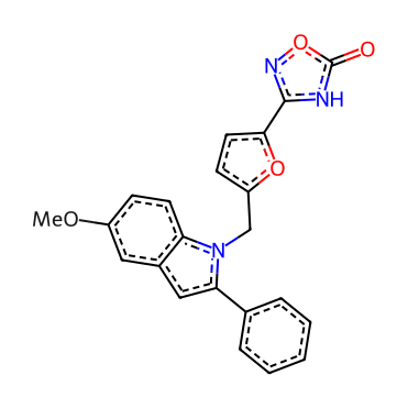 COc1ccc2c(c1)cc(-c1ccccc1)n2Cc1ccc(-c2noc(=O)[nH]2)o1